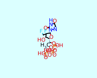 CC(OP(=O)(O)OP(=O)(O)OP(=O)(O)O)[C@H]1O[C@@H](n2ncc(=O)[nH]c2=O)[C@@](F)(CF)C1O